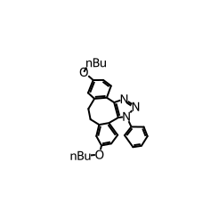 CCCCOc1ccc2c(c1)CCc1cc(OCCCC)ccc1-c1c-2nnn1-c1ccccc1